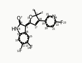 CC1(C)OC(=C2C(=O)Nc3cc(F)c(F)cc32)C=C1c1ccc(F)nc1